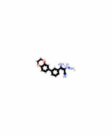 N#C/C(NN)=C(/N)c1cccc(-c2ccc3c(c2)OCCO3)c1